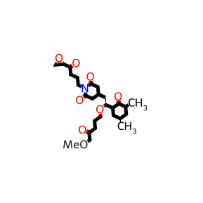 COCC(=O)CCCO[C@H](CC1CC(=O)N(CCCC(=O)C2CO2)C(=O)C1)C1C[C@@H](C)CC(C)C1=O